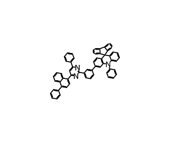 c1ccc(-c2cc(-c3ccc(-c4ccccc4)c4ccccc34)nc(-c3cccc(-c4ccc5c(c4)N(c4ccccc4)c4ccccc4C54c5ccccc5-c5ccccc54)c3)n2)cc1